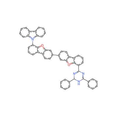 c1ccc(C2=NC(c3cccc4c3oc3cc(-c5ccc6c(c5)oc5c(-n7c8ccccc8c8ccccc87)cccc56)ccc34)=NC(c3ccccc3)N2)cc1